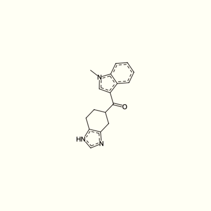 Cn1cc(C(=O)C2CCc3[nH]cnc3C2)c2ccccc21